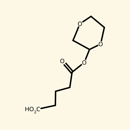 O=C(O)CCCC(=O)OC1COCCO1